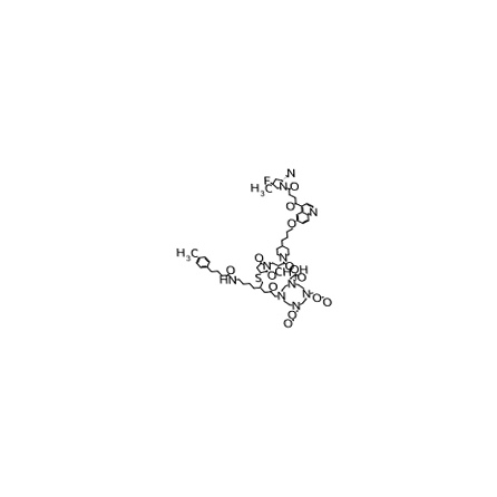 Cc1ccc(CCCC(=O)NCCCCC(CSC2CC(=O)N(CC(C)C(=O)N3CCC(CCCCOc4ccc5nccc(C(=O)CCC(=O)N6CC(C)(F)C[C@@H]6C#N)c5c4)CC3)C2=O)CC(=O)CN2CCN(COC=O)CCN(COC=O)CCN(CC(=O)O)CC2)cc1